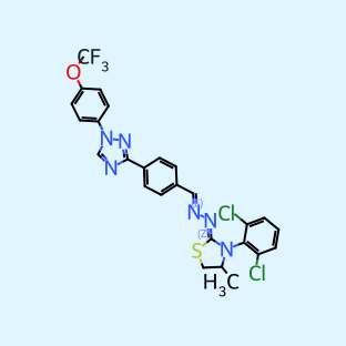 CC1CS/C(=N\N=C\c2ccc(-c3ncn(-c4ccc(OC(F)(F)F)cc4)n3)cc2)N1c1c(Cl)cccc1Cl